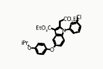 CCOC(=O)Cc1c(C(=O)OCC)c2cc(Oc3ccc(OC(C)C)cc3)ccc2n1-c1cccc(Cl)c1